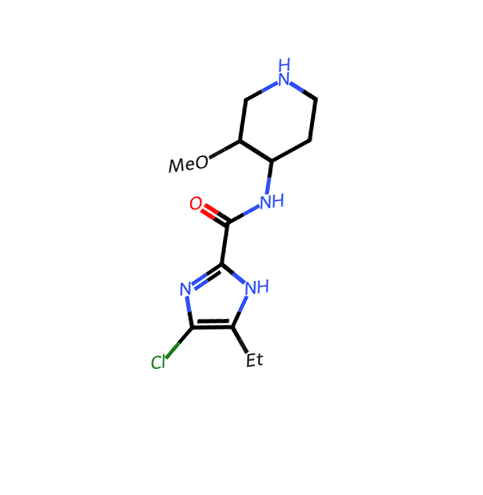 CCc1[nH]c(C(=O)NC2CCNCC2OC)nc1Cl